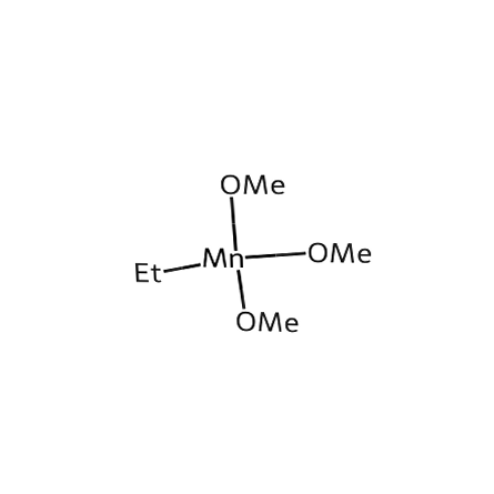 C[CH2][Mn]([O]C)([O]C)[O]C